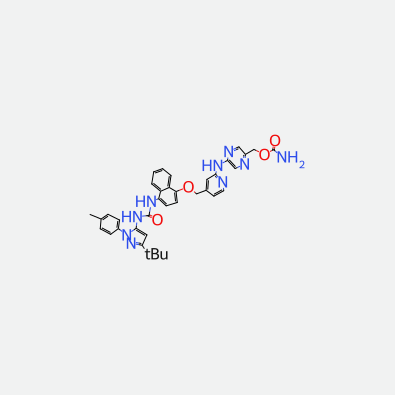 Cc1ccc(-n2nc(C(C)(C)C)cc2NC(=O)Nc2ccc(OCc3ccnc(Nc4cnc(COC(N)=O)cn4)c3)c3ccccc23)cc1